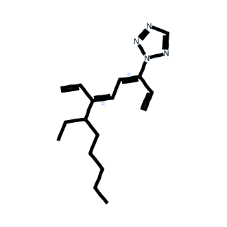 C=C/C(=C\C=C(/C=C)n1ncnn1)C(CC)CCCCC